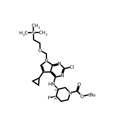 CC(C)(C)OC(=O)N1CC[C@@H](F)[C@@H](Nc2nc(Cl)nc3c2c(C2CC2)cn3COCC[Si](C)(C)C)C1